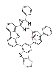 c1ccc(-c2ccc(-c3cc(-c4cccc5c4sc4c(-c6nc(-c7ccccc7)nc(-c7ccccc7)n6)cccc45)c4sc5ccccc5c4c3)cc2)cc1